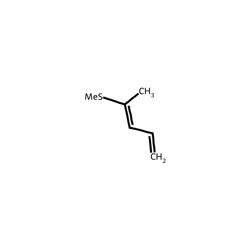 C=C/C=C(\C)SC